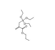 C=C(C[Si](OCC)(OCC)OCC)C(=O)OCCC